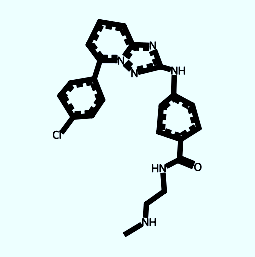 CNCCNC(=O)c1ccc(Nc2nc3cccc(-c4ccc(Cl)cc4)n3n2)cc1